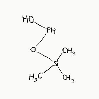 C[Si](C)(C)OPO